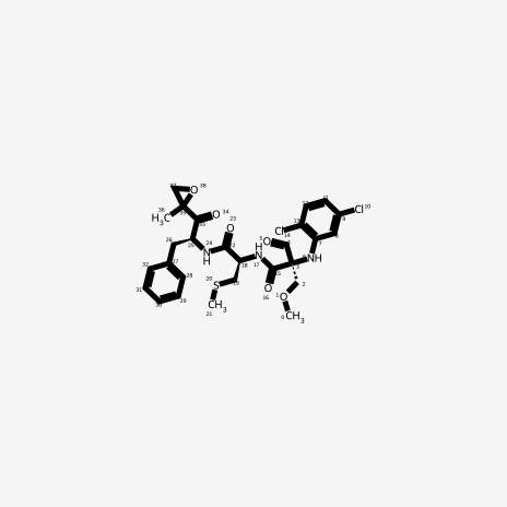 COC[C@](C=O)(Nc1cc(Cl)ccc1Cl)C(=O)N[C@@H](CSC)C(=O)N[C@@H](Cc1ccccc1)C(=O)C1(C)CO1